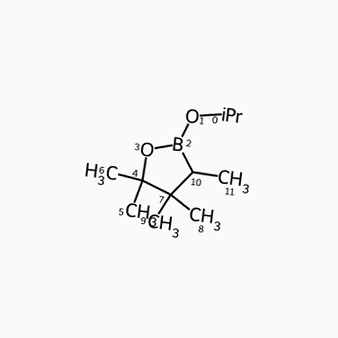 CC(C)OB1OC(C)(C)C(C)(C)C1C